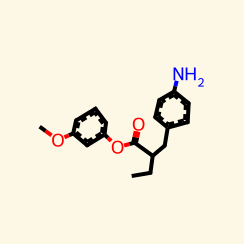 CCC(Cc1ccc(N)cc1)C(=O)Oc1cccc(OC)c1